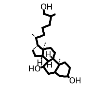 CC(CO)CCC[C@@H](C)[C@H]1CC[C@H]2[C@@H]3C(O)CC4CC(O)CC[C@]4(C)[C@H]3CC[C@]12C